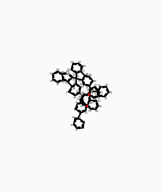 c1ccc(-c2ccc(N(c3ccccc3)c3ccc4c(c3)C3(c5ccccc5-c5ccc(N(c6ccccc6)c6cccc7ccccc67)cc53)c3oc5ccccc5c3-4)cc2)cc1